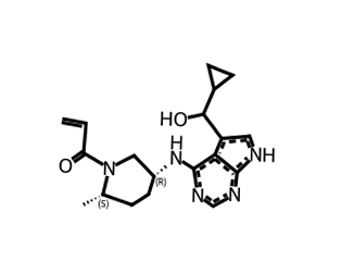 C=CC(=O)N1C[C@H](Nc2ncnc3[nH]cc(C(O)C4CC4)c23)CC[C@@H]1C